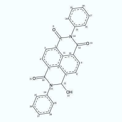 O=C1c2ccc3c4c(ccc(c24)C(=O)N1c1ccccc1)C(O)N(c1ccccc1)C3=O